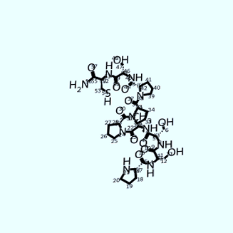 C[C@H](NC(=O)[C@H](CO)NC(=O)[C@H](CO)NC(=O)[C@@H]1CCCN1)C(=O)N1CCC[C@H]1C(=O)N1CCC[C@H]1C(=O)N1CCC[C@H]1C(=O)N[C@@H](CO)C(=O)N[C@@H](CS)C(N)=O